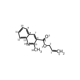 C=CCOC(=O)c1cc2ccccc2nc1C